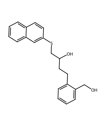 OCc1ccccc1CCC(O)CSc1ccc2ccccc2c1